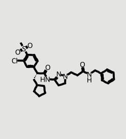 CS(=O)(=O)c1ccc([C@@H](CC2CCCC2)C(=O)NC2=NN(CCC(=O)NCc3ccccc3)CC2)cc1Cl